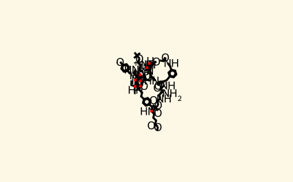 COC(=O)CCC(=O)NCc1ccc(CCNC(=O)[C@]2(C)CCCN2C(=O)[C@H](Cc2ccc(OC)cc2)NC(=O)[C@@H](NC(=O)[C@@H]2[C@@H]3CCN2C(=O)[C@H](Cc2c[nH]c4ccc(F)cc24)NC(=O)[C@@H](NC(=O)[C@H](N)CNC(=O)OC(C)(C)C)Cc2cccc(c2)CNC(=O)CO3)[C@@H](C)OC(C)(C)C)cc1